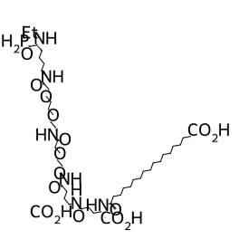 CCN[C@@H](CCCCNC(=O)COCCOCCNC(=O)COCCONC(=O)CC[C@H](NC(=O)CC[C@H](NC(=O)CCCCCCCCCCCCCCCCC(=O)O)C(=O)O)C(=O)O)C(=O)P